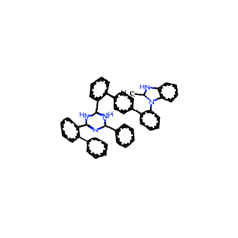 CC1Nc2ccccc2N1c1ccccc1-c1ccc(-c2ccccc2C2NC(c3ccccc3-c3ccccc3)=NC(c3ccccc3)N2)cc1